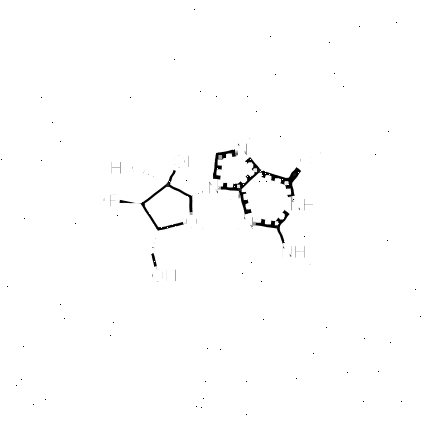 C[C@@]1(O)[C@H](F)[C@@H](CO)O[C@H]1n1cnc2c(=O)[nH]c(N)nc21